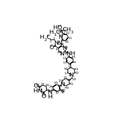 C=CCn1c(=O)c2cnc(Nc3ccc(C4CCN(CC5CCN(c6ccc(N[C@@H]7CCC(=O)NC7=O)cc6F)CC5)CC4)cc3)nc2n1-c1cccc(C(C)(C)O)n1